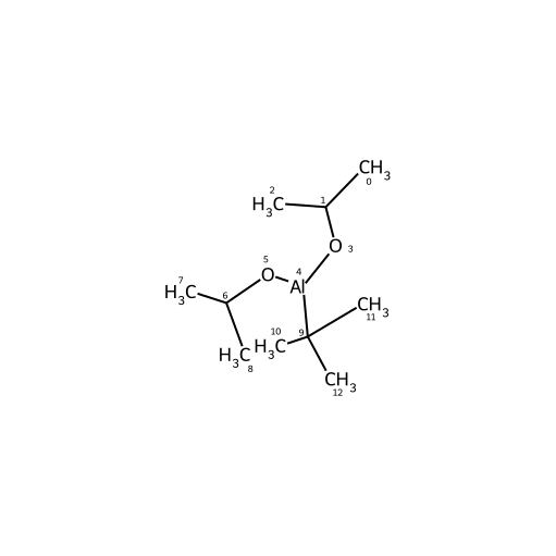 CC(C)[O][Al]([O]C(C)C)[C](C)(C)C